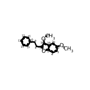 COc1ccc2oc(CCc3ccccc3)c(OC)c2c1